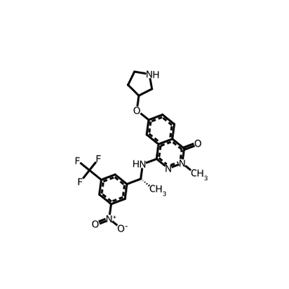 C[C@@H](Nc1nn(C)c(=O)c2ccc(OC3CCNC3)cc12)c1cc([N+](=O)[O-])cc(C(F)(F)F)c1